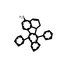 Bc1ccc2c3c1C=CCC3c1c-2c(-c2ccccc2)c2ccccc2c1-c1ccccc1